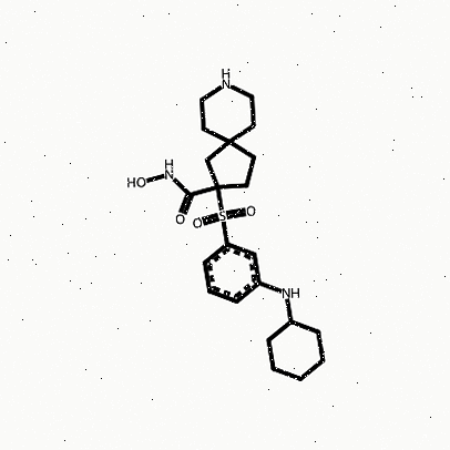 O=C(NO)C1(S(=O)(=O)c2cccc(NC3CCCCC3)c2)CCC2(CCNCC2)C1